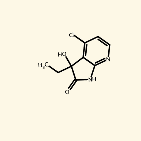 CCC1(O)C(=O)Nc2nccc(Cl)c21